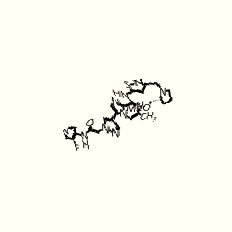 COC[C@H]1CCCN1Cc1cc(Nc2nc(C)cn3c(-c4cnn(CC(=O)Nc5ccncc5F)c4)cnc23)sn1